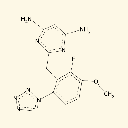 COc1ccc(-n2cnnn2)c(Cc2nc(N)cc(N)n2)c1F